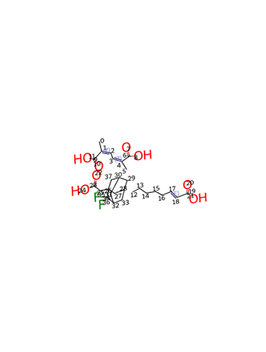 C/C(=C/C=C(/C)C(=O)O)C(=O)O.CCCCC/C=C/C(=O)O.O=C(O)CC12CC3CC(CC(C3)C1(F)F)C2